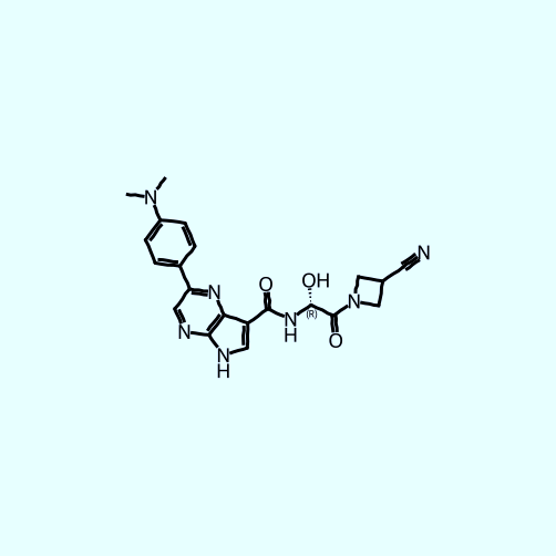 CN(C)c1ccc(-c2cnc3[nH]cc(C(=O)N[C@H](O)C(=O)N4CC(C#N)C4)c3n2)cc1